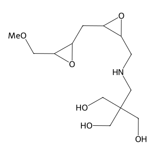 COCC1OC1CC1OC1CNCC(CO)(CO)CO